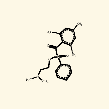 Cc1cc(C)c(C(=O)P(=O)(OCCN(C)C)c2ccccc2)c(C)c1